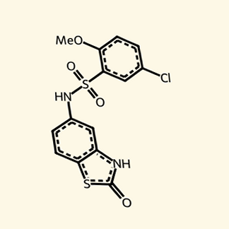 COc1ccc(Cl)cc1S(=O)(=O)Nc1ccc2sc(=O)[nH]c2c1